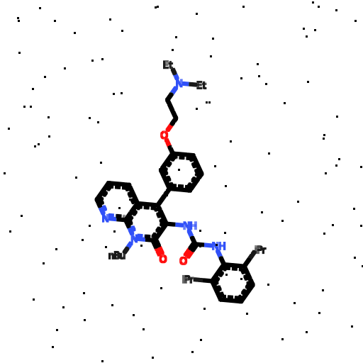 CCCCn1c(=O)c(NC(=O)Nc2c(C(C)C)cccc2C(C)C)c(-c2cccc(OCCN(CC)CC)c2)c2cccnc21